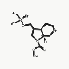 CC(C)[Si](OCC1CN(C(=O)OC(C)(C)C)[C@H]2CNCCC12)(C(C)C)C(C)C